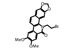 COc1cc2c(=O)n(CCBr)c3c4cc5c(cc4ccc3c2cc1OC)OCO5